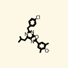 Cc1cc(-c2nc3c(CC(C)C)nc(Cc4ccc(Cl)cc4)nc3o2)cc(C)c1[O]